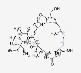 C=CC(C)(SC(C)C)C(=O)N(C)[C@@H](C)C(=O)O[C@H]1CC(=O)N(C)c2cc(cc(CO)c2Cl)C/C(C)=C/C=C/[C@@H](CO)[C@@]2(O)C[C@H](OC(=O)N2)[C@@H](C)[C@@H]2O[C@@]12C